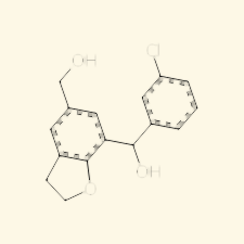 OCc1cc2c(c(C(O)c3cccc(Cl)c3)c1)OCC2